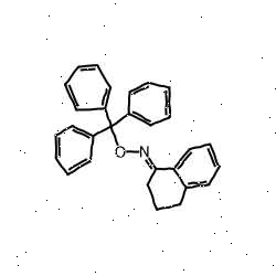 c1ccc(C(ON=C2CCCc3ccccc32)(c2ccccc2)c2ccccc2)cc1